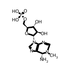 CN1C=Nc2c(ncn2[C@@H]2O[C@@H](COP(=O)(O)O)[C@H](O)[C@H]2O)[C@H]1N